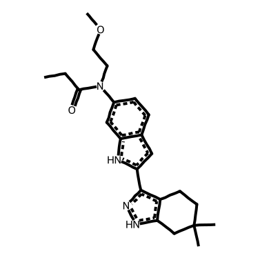 CCC(=O)N(CCOC)c1ccc2cc(-c3n[nH]c4c3CCC(C)(C)C4)[nH]c2c1